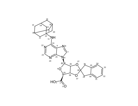 O=C(O)[C@H]1O[C@@H](n2cnc3c(NC45CC6CC(CC(C6)C4)C5)ncnc32)C2OC3(Cc4ccccc4C3)OC21